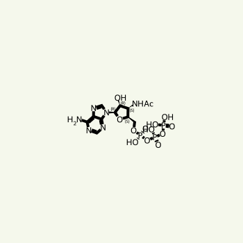 CC(=O)N[C@H]1[C@@H](O)[C@H](n2cnc3c(N)ncnc32)O[C@@H]1COP(=O)(O)OP(=O)(O)OP(=O)(O)O